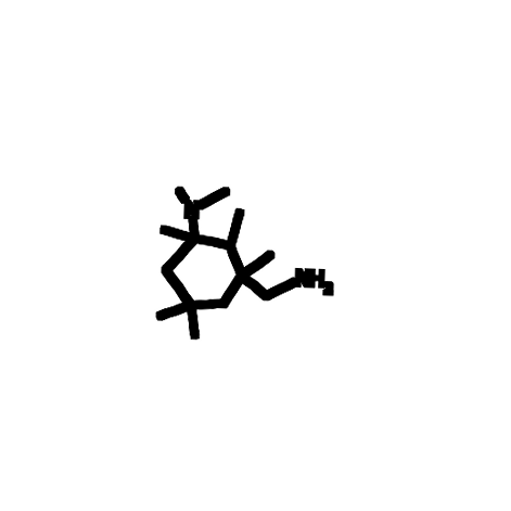 CC1C(C)(CN)CC(C)(C)CC1(C)N(C)C